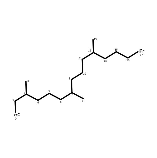 CC(=O)CC(C)CCCC(C)CCCC(C)CCCC(C)C